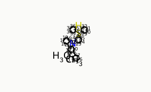 CC1(C)c2ccccc2-c2cc3c(cc21)c1ccccc1n3-c1cccc([SH](c2ccccc2)c2ccccc2)c1